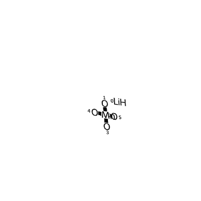 [LiH].[O]=[Mn](=[O])(=[O])=[O]